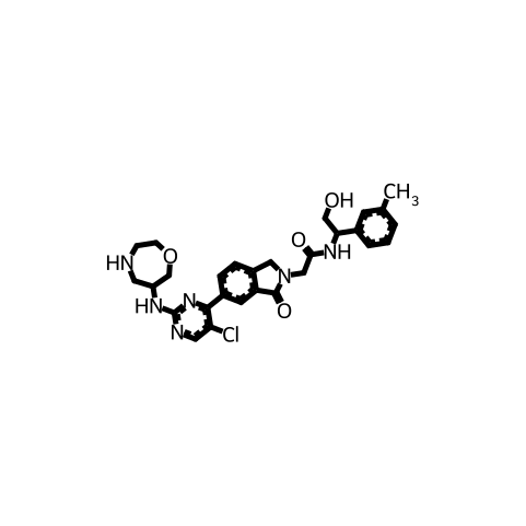 Cc1cccc(C(CO)NC(=O)CN2Cc3ccc(-c4nc(NC5CNCCOC5)ncc4Cl)cc3C2=O)c1